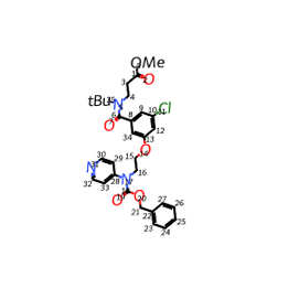 COC(=O)CCN(C(=O)c1cc(Cl)cc(OCCN(C(=O)OCc2ccccc2)c2ccncc2)c1)C(C)(C)C